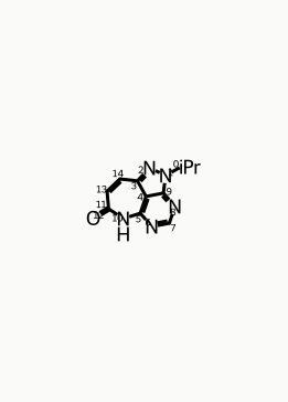 CC(C)n1nc2c3c(ncnc31)NC(=O)C=C2